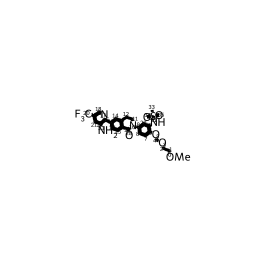 COCCOCOc1ccc(N2CCc3cc(-c4ncc(C(F)(F)F)cc4N)ccc3C2=O)cc1NS(C)(=O)=O